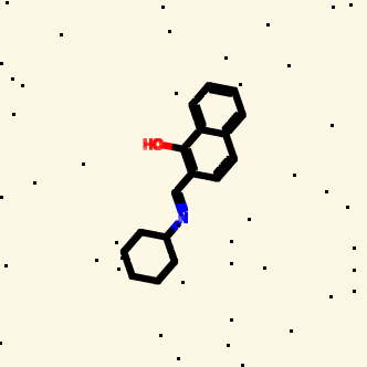 Oc1c(/C=N/C2CCCCC2)ccc2ccccc12